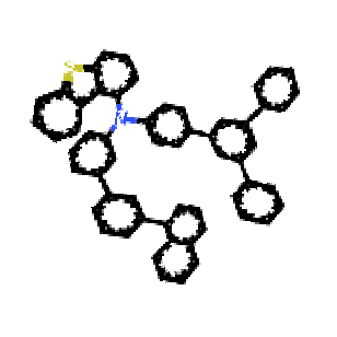 c1ccc(-c2cc(-c3ccccc3)cc(-c3ccc(N(c4cccc(-c5cccc(-c6cccc7ccccc67)c5)c4)c4cccc5sc6ccccc6c45)cc3)c2)cc1